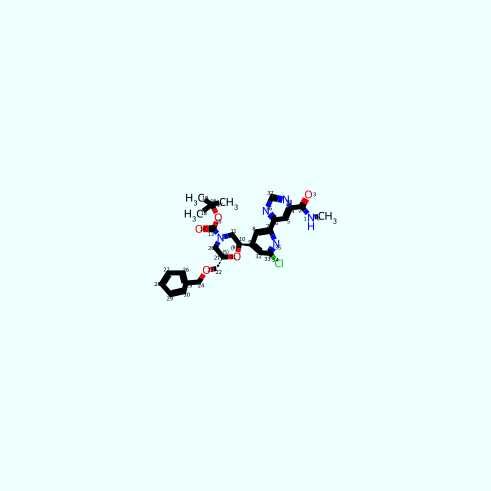 CNC(=O)c1cc(-c2cc([C@@H]3CN(C(=O)OC(C)(C)C)C[C@@H](COCc4ccccc4)O3)cc(Cl)n2)ncn1